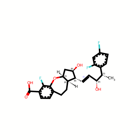 C[C@@H](c1ccc(F)cc1F)[C@H](O)/C=C/[C@@H]1[C@H]2CCc3ccc(C(=O)O)c(F)c3O[C@H]2C[C@H]1O